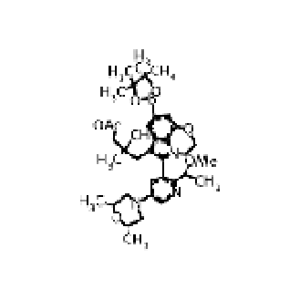 CO[C@@H](C)c1ncc(N2C[C@H](C)O[C@@H](C)C2)cc1-c1c(CC(C)(C)COC(C)=O)c2cc(B3OC(C)(C)C(C)(C)O3)cc3c2n1CCO3